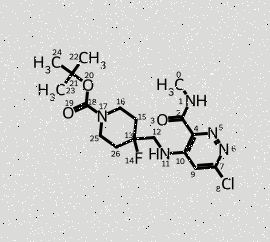 CNC(=O)c1nnc(Cl)cc1NCC1(F)CCN(C(=O)OC(C)(C)C)CC1